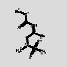 CN(C[C@@H](NC(=O)OC(C)(C)C)C(C)(C)C)S(C)(=O)=O